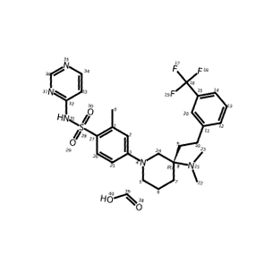 Cc1cc(N2CCC[C@@](CCc3cccc(C(F)(F)F)c3)(N(C)C)C2)ccc1S(=O)(=O)Nc1ccncn1.O=CO